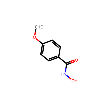 O=COc1ccc(C(=O)NO)cc1